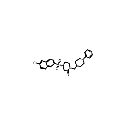 O=C1CN(S(=O)(=O)c2ccc3cc(Cl)ccc3c2)CCN1CC1CCN(c2ccncc2)CC1